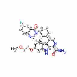 COCCOc1ccc2c(c1)[nH]c1c(C(N)=O)ncc(-c3cccc(-n4cnc5ccc(F)cc5c4=O)c3C)c12